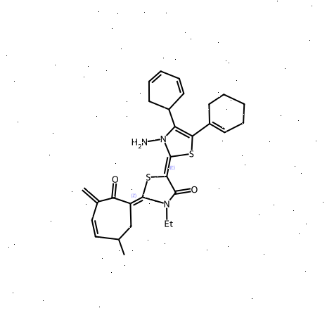 C=C1C=CC(C)C/C(=c2/s/c(=C3/SC(C4=CCCCC4)=C(C4C=CC=CC4)N3N)c(=O)n2CC)C1=O